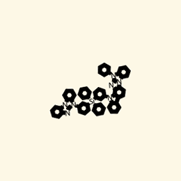 c1ccc(-n2c3ccccc3n3c4ccc5c6ccccc6n(-c6cccc([Si](c7ccccc7)(c7ccccc7)c7cccc(-n8c9ccccc9n9c%10ccccc%10nc89)c7)c6)c5c4nc23)cc1